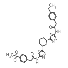 CCc1ccc(CC(=O)Nc2nnc([C@@H]3CCC[C@@H](c4nnc(NC(=O)Cc5ccc(S(C)(=O)=O)cc5)s4)C3)s2)cc1